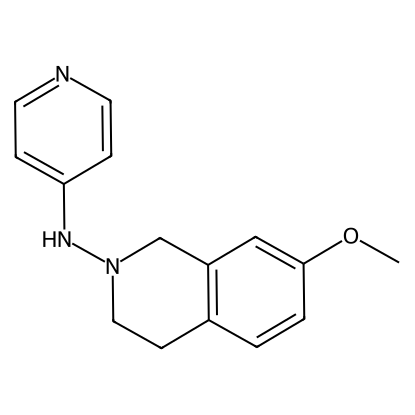 COc1ccc2c(c1)CN(Nc1ccncc1)CC2